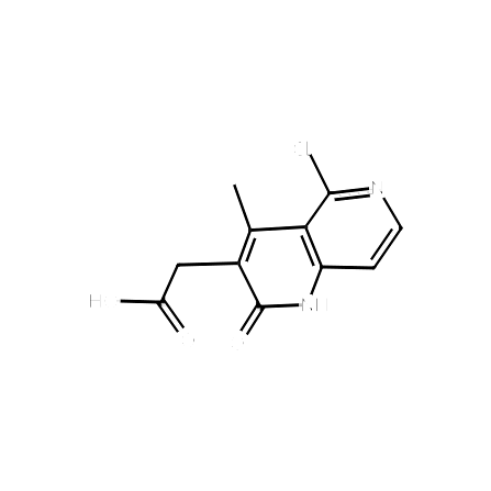 Cc1c(CC(=O)O)c(=O)[nH]c2ccnc(Cl)c12